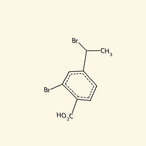 CC(Br)c1ccc(C(=O)O)c(Br)c1